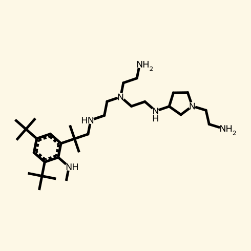 CNc1c(C(C)(C)C)cc(C(C)(C)C)cc1C(C)(C)CNCCN(CCN)CCNC1CCN(CCN)C1